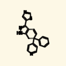 C1=CC(c2ccccc2)(c2ccncc2)Cc2[nH]nc(-c3cncs3)c21